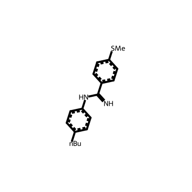 CCCCc1ccc(NC(=N)c2ccc(SC)cc2)cc1